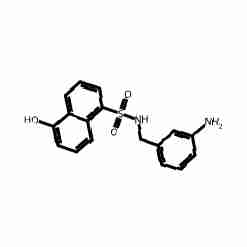 Nc1cccc(CNS(=O)(=O)c2cccc3c(O)cccc23)c1